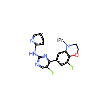 CC(C)N1CCOc2c(F)cc(-c3nc(Nc4cc[c]cn4)ncc3F)cc21